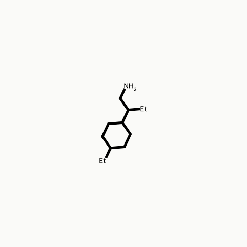 CCC1CCC(C(CC)CN)CC1